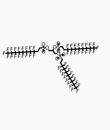 O=S(=O)(CCC(F)(F)C(F)(F)C(F)(F)C(F)(F)C(F)(F)C(F)(F)C(F)(F)C(F)(F)F)OCC(COS(=O)(=O)CCC(F)(F)C(F)(F)C(F)(F)C(F)(F)C(F)(F)C(F)(F)C(F)(F)C(F)(F)F)OS(=O)(=O)CCC(F)(F)C(F)(F)C(F)(F)C(F)(F)C(F)(F)C(F)(F)C(F)(F)C(F)(F)F